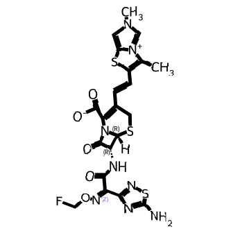 Cc1c(C=CC2=C(C(=O)[O-])N3C(=O)[C@@H](NC(=O)/C(=N\OCF)c4nsc(N)n4)[C@H]3SC2)sc2cn(C)c[n+]12